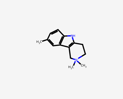 Cc1ccc2[nH]c3c(c2c1)C[N+](C)(C)CC3